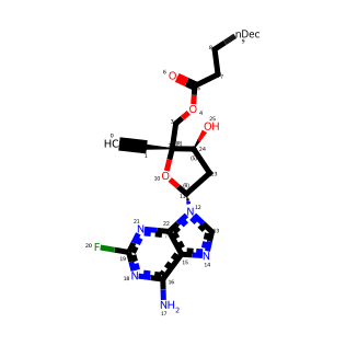 C#C[C@]1(COC(=O)CCCCCCCCCCCC)O[C@@H](n2cnc3c(N)nc(F)nc32)C[C@@H]1O